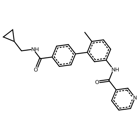 Cc1ccc(NC(=O)c2cccnc2)cc1-c1ccc(C(=O)NCC2CC2)cc1